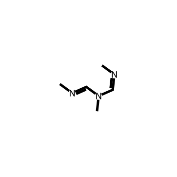 C/N=C\N(C)/C=N/C